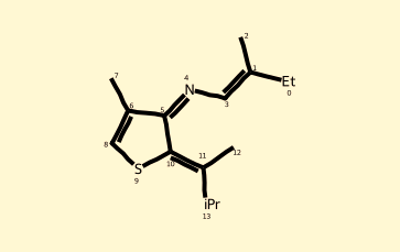 CC/C(C)=C/N=C1/C(C)=CS/C1=C(/C)C(C)C